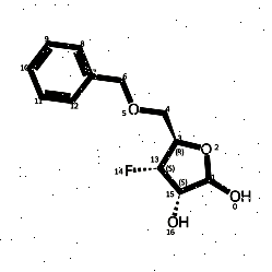 OC1O[C@H](COCc2ccccc2)[C@@H](F)[C@H]1O